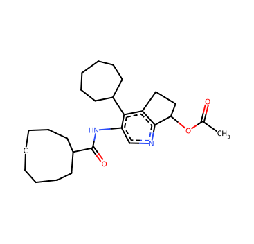 CC(=O)OC1CCc2c1ncc(NC(=O)C1CCCCCCCC1)c2C1CCCCCC1